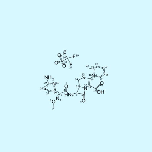 CON=C(C(=O)NC1C(=O)N2C(C(=O)O)=C([n+]3ccccc3C)SCC12)c1csc(N)n1.O=S(=O)([O-])C(F)(F)F